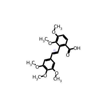 COc1cc(/C=C/c2c(C(=O)O)ccc(OC)c2OC)cc(OC)c1OC